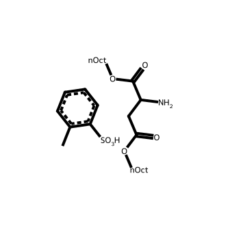 CCCCCCCCOC(=O)CC(N)C(=O)OCCCCCCCC.Cc1ccccc1S(=O)(=O)O